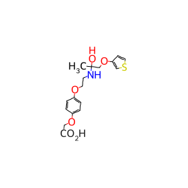 CC(O)(COc1ccsc1)NCCOc1ccc(OCC(=O)O)cc1